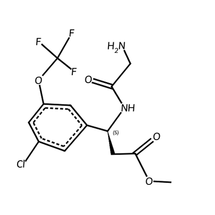 COC(=O)C[C@H](NC(=O)CN)c1cc(Cl)cc(OC(F)(F)F)c1